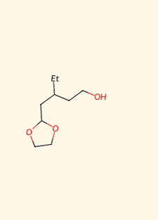 CCC(CCO)CC1OCCO1